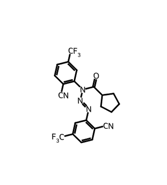 N#Cc1ccc(C(F)(F)F)cc1/N=N/N(C(=O)C1CCCC1)c1cc(C(F)(F)F)ccc1C#N